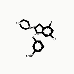 CC(=O)Nc1cccc(O[C@H]2c3cc(Cl)cc(F)c3C[C@@H]2N2CCNCC2)c1